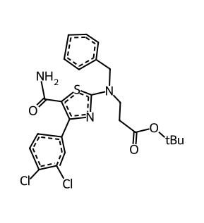 CC(C)(C)OC(=O)CCN(Cc1ccccc1)c1nc(-c2ccc(Cl)c(Cl)c2)c(C(N)=O)s1